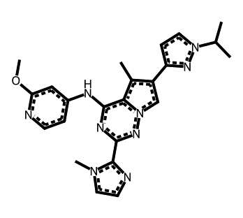 COc1cc(Nc2nc(-c3nccn3C)nn3cc(-c4ccn(C(C)C)n4)c(C)c23)ccn1